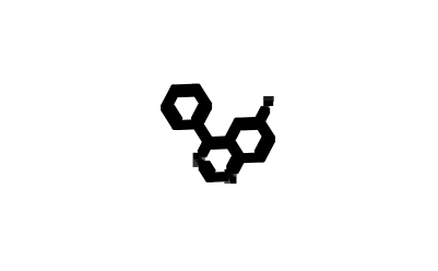 Fc1ccc2ncnc(-c3ccccc3)c2c1